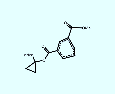 CCCCCCCCCC1(OC(=O)c2cccc(C(=O)OC)c2)CC1